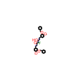 COc1ccc(/C=C/C(=O)/C(F)=C(O)/C=C/c2ccc(OC)c(OCc3ccccc3)c2)cc1OCc1ccccc1